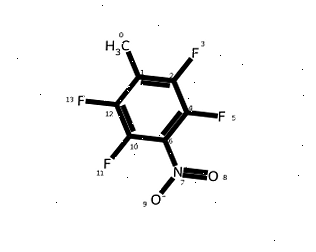 Cc1c(F)c(F)c([N+](=O)[O-])c(F)c1F